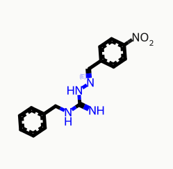 N=C(NCc1ccccc1)N/N=C/c1ccc([N+](=O)[O-])cc1